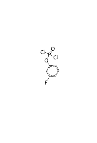 O=P(Cl)(Cl)Oc1cccc(F)c1